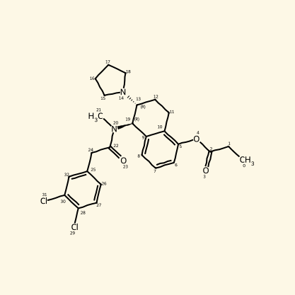 CCC(=O)Oc1cccc2c1CC[C@@H](N1CCCC1)[C@@H]2N(C)C(=O)Cc1ccc(Cl)c(Cl)c1